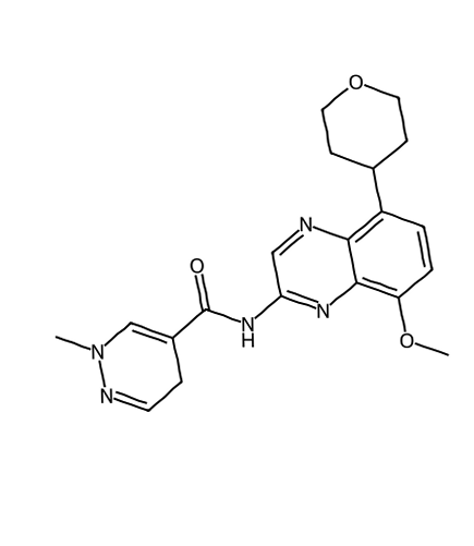 COc1ccc(C2CCOCC2)c2ncc(NC(=O)C3=CN(C)N=CC3)nc12